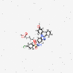 COC(=O)CCCCOc1cc2c(cc1NS(=O)(=O)c1ccc(Cl)cc1)nc(-c1ccccc1)n2-c1ccc(OC)cc1